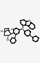 CC[C@H]1C[C@H]2CC[C@H](C2)[C@]12c1ccccc1-c1cc(N(c3ccc(-c4ccccc4)cc3)c3cccc4oc5ccccc5c34)ccc12